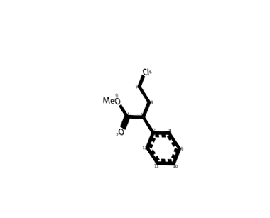 COC(=O)C(CCCl)c1ccccc1